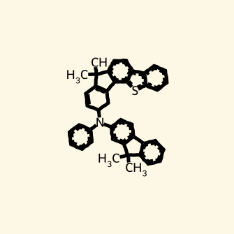 CC1(C)C2=C(CC(N(c3ccccc3)c3ccc4c(c3)C(C)(C)c3ccccc3-4)C=C2)c2c1ccc1c2sc2ccccc21